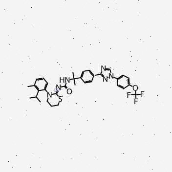 Cc1cccc(N2CCCS/C2=N\C(=O)NC(C)(C)c2ccc(-c3ncn(-c4ccc(OC(F)(F)F)cc4)n3)cc2)c1C(C)C